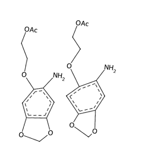 CC(=O)OCCOc1cc2c(cc1N)OCO2.CC(=O)OCCOc1cc2c(cc1N)OCO2